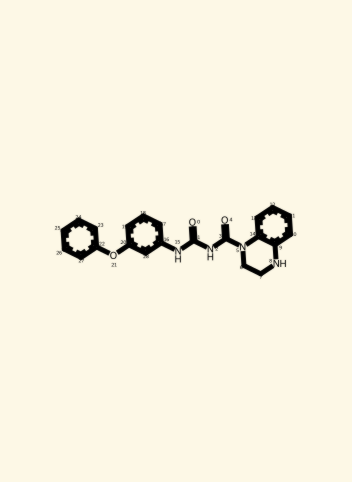 O=C(NC(=O)N1CCNc2c[c]ccc21)Nc1cccc(Oc2ccccc2)c1